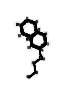 CCCOc1c[c]c2ccccc2c1